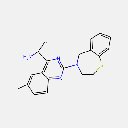 [CH2]C(N)c1nc(N2CCSc3ccccc3C2)nc2ccc(C)cc12